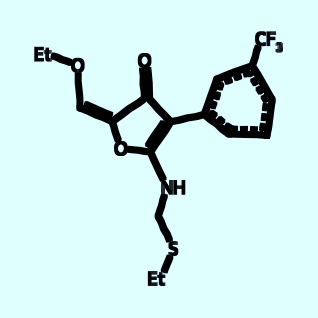 CCOC=C1OC(NCSCC)=C(c2cccc(C(F)(F)F)c2)C1=O